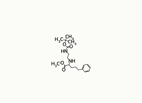 COC(=O)C(CCCc1ccccc1)NCCNC(=O)OC(C)(C)C